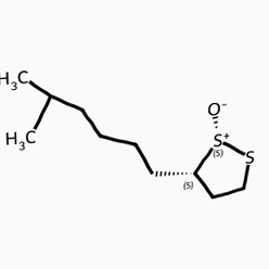 CC(C)CCCC[C@H]1CCS[S@@+]1[O-]